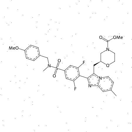 COC(=O)N1CCO[C@@H](Cc2c(-c3c(F)cc(S(=O)(=O)N(C)Cc4ccc(OC)cc4)cc3F)nc3cc(C)ccn23)C1